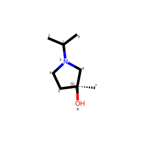 CC(C)N1CC[C@](C)(O)C1